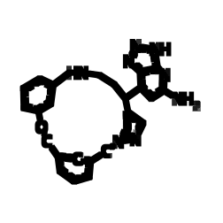 Nc1cc(C2CCNCc3cccc(c3)OCc3cccc(c3)Cn3cc2cn3)c2nn[nH]c2n1